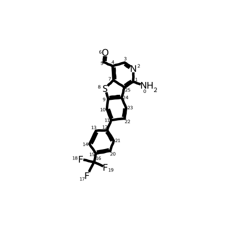 Nc1ncc(C=O)c2sc3cc(-c4ccc(C(F)(F)F)cc4)ccc3c12